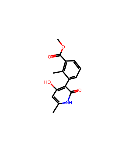 COC(=O)c1cccc(-c2c(O)cc(C)[nH]c2=O)c1C